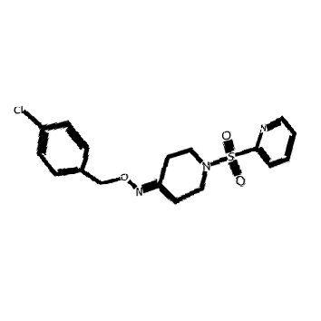 O=S(=O)(c1ccccn1)N1CCC(=NOCc2ccc(Cl)cc2)CC1